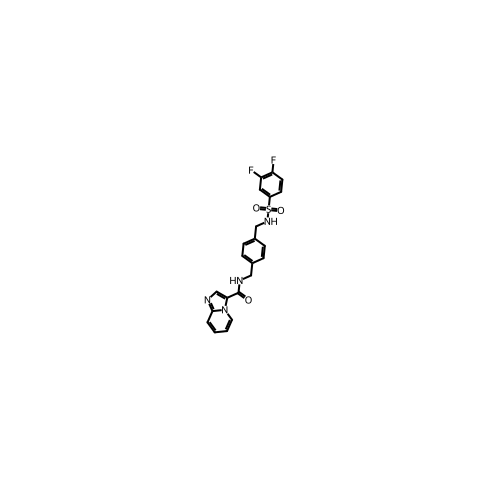 O=C(NCc1ccc(CNS(=O)(=O)c2ccc(F)c(F)c2)cc1)c1cnc2ccccn12